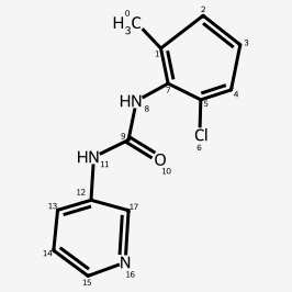 Cc1cccc(Cl)c1NC(=O)Nc1cccnc1